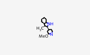 COc1cc(-c2[nH]c3ccccc3c2C)ccn1